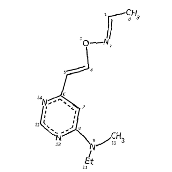 C/C=N/O/C=C/c1cc(N(C)CC)ncn1